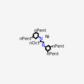 CCCCCCCCC(/C=N/c1cc(CCCCC)cc(CCCCC)c1)=N\c1cc(CCCCC)cc(CCCCC)c1.[Ni]